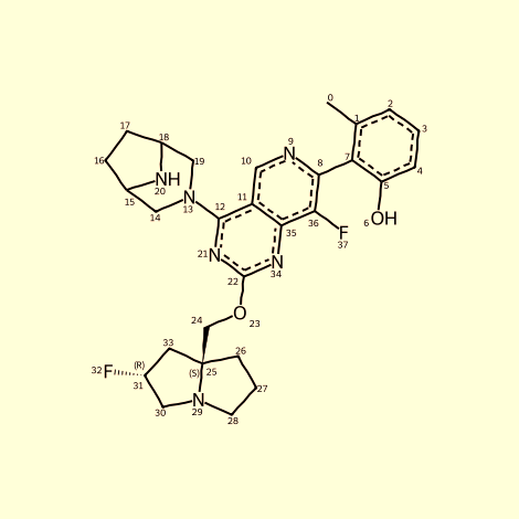 Cc1cccc(O)c1-c1ncc2c(N3CC4CCC(C3)N4)nc(OC[C@@]34CCCN3C[C@H](F)C4)nc2c1F